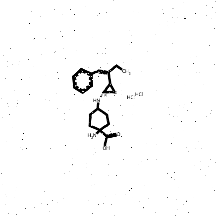 CCC(=Cc1ccccc1)C1C[C@@H]1NC1CCC(N)(C(=O)O)CC1.Cl.Cl